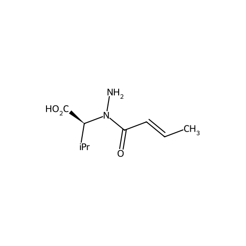 C/C=C/C(=O)N(N)[C@H](C(=O)O)C(C)C